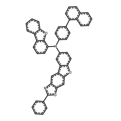 c1ccc(-c2nc3cc4c(cc3o2)oc2ccc(N(c3ccc(-c5cccc6ccccc56)cc3)c3cccc5c3oc3ccccc35)cc24)cc1